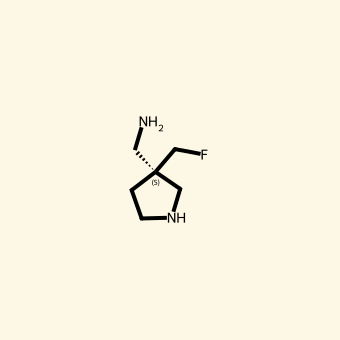 NC[C@@]1(CF)CCNC1